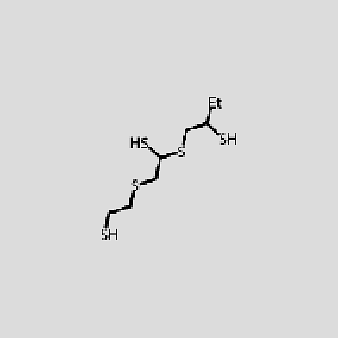 CCC(S)CSC(S)CSCCS